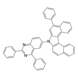 c1ccc(-c2nc(-c3ccccc3)c3cc(-n4c5ccc6ccccc6c5c5c6ccccc6c(-c6ccccc6)cc54)ccc3n2)cc1